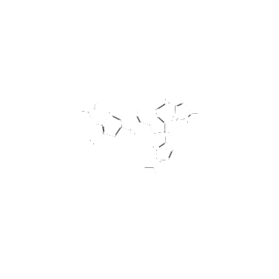 CC1(c2ccn(C(F)F)n2)CC(C(=O)Nc2cnc(OC(F)F)c(C#N)c2)c2cnc3cc(F)nn3c21